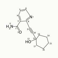 NC(=O)c1cccnc1C#CC1(O)CCCCC1